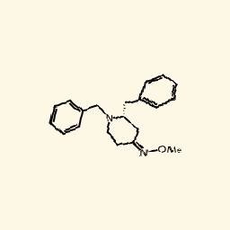 CO/N=C1/CCN(Cc2ccccc2)[C@H](Cc2ccccc2)C1